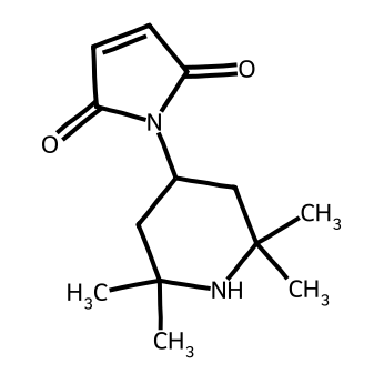 CC1(C)CC(N2C(=O)C=CC2=O)CC(C)(C)N1